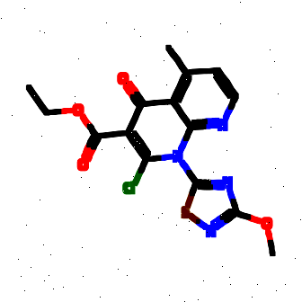 CCOC(=O)c1c(Cl)n(-c2nc(OC)ns2)c2nccc(C)c2c1=O